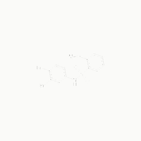 COc1ccccc1S(=O)(=O)Nc1ccc(Br)c(Br)c1